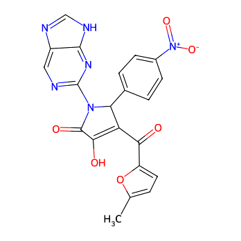 Cc1ccc(C(=O)C2=C(O)C(=O)N(c3ncc4nc[nH]c4n3)C2c2ccc([N+](=O)[O-])cc2)o1